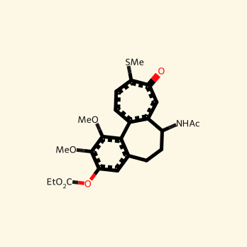 CCOC(=O)Oc1cc2c(c(OC)c1OC)-c1ccc(SC)c(=O)cc1C(NC(C)=O)CC2